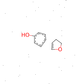 C1=COCC1.Oc1ccccc1